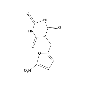 O=C1NC(=O)C(Cc2ccc([N+](=O)[O-])o2)C(=O)N1